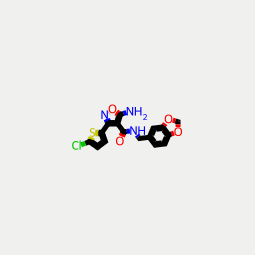 Nc1onc(-c2ccc(Cl)s2)c1C(=O)NCc1ccc2c(c1)OCO2